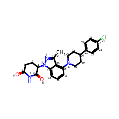 Cc1nn(C2CCC(=O)NC2=O)c2cccc(N3CCC(c4ccc(Cl)cc4)CC3)c12